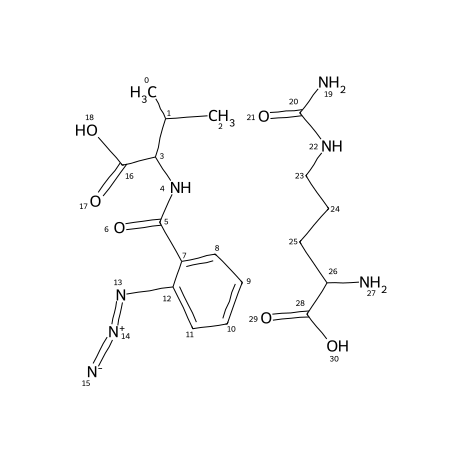 CC(C)C(NC(=O)c1ccccc1N=[N+]=[N-])C(=O)O.NC(=O)NCCCC(N)C(=O)O